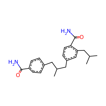 CC(C)Cc1cc(CC(C)Cc2ccc(C(N)=O)cc2)ccc1C(N)=O